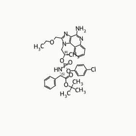 CCOCc1nc2c(N)nc3ccccc3c2n1C[C@@H](C)OP(=O)(N[C@H](C(=O)OC(C)(C)C)c1ccccc1)Oc1ccc(Cl)cc1